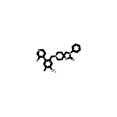 Cc1cc(-c2ccncc2F)c(CN2CCC3(CC2)CN(c2ccccc2)C(=O)O3)cc1C(F)(F)F